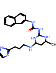 CC1CC(NCCCc2ncc[nH]2)NC(NC(=O)Nc2ccc3ccccc3c2)N1